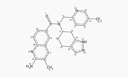 Cc1cc2cc(C(=O)N(Cc3ccc(C(F)(F)F)cn3)C3CCc4cn[nH]c4C3)ccc2nc1N